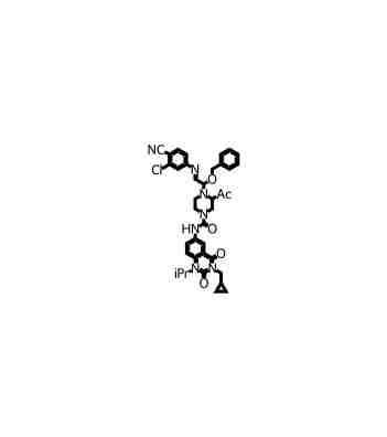 CC(=O)C1CN(C(=O)Nc2ccc3c(c2)c(=O)n(CC2CC2)c(=O)n3C(C)C)CCN1C(/C=N/c1ccc(C#N)c(Cl)c1)OCc1ccccc1